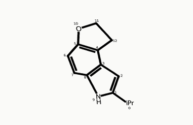 CC(C)c1cc2c3c(ccc2[nH]1)OCC3